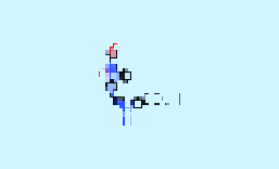 O=C(O)c1ccc(Nc2ccc(CN3CCC(N4C(=O)N(CC5CCOCC5)CC4c4ccccc4)CC3)cn2)cc1